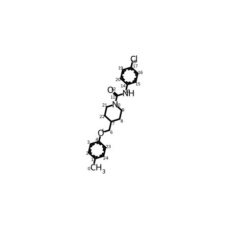 Cc1ccc(OCC2CCN(C(=O)Nc3ccc(Cl)cc3)CC2)cc1